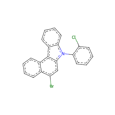 Clc1ccccc1-n1c2ccccc2c2c3ccccc3c(Br)cc21